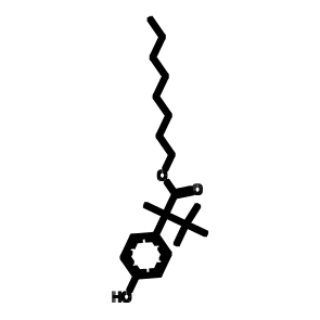 CCCCCCCCOC(=O)C(C)(c1ccc(O)cc1)C(C)(C)C